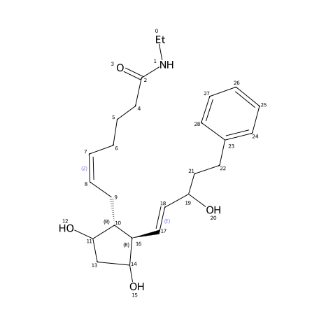 CCNC(=O)CCC/C=C\C[C@H]1C(O)CC(O)[C@@H]1/C=C/C(O)CCc1ccccc1